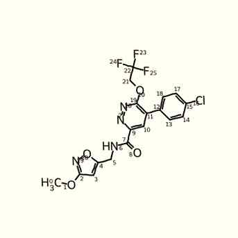 COc1cc(CNC(=O)c2cc(-c3ccc(Cl)cc3)c(OCC(F)(F)F)nn2)on1